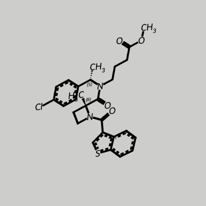 COC(=O)CCCN(C(=O)[C@@]1(C)CCN1C(=O)c1csc2ccccc12)[C@@H](C)c1ccc(Cl)cc1